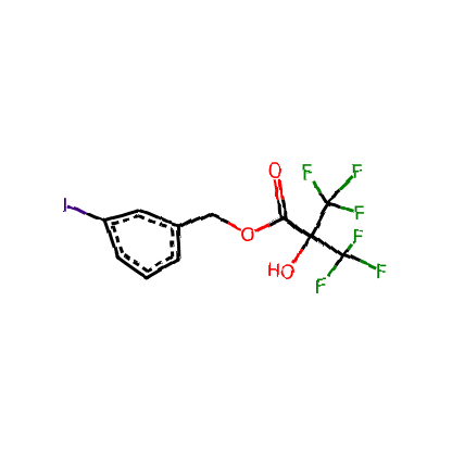 O=C(OCc1cccc(I)c1)C(O)(C(F)(F)F)C(F)(F)F